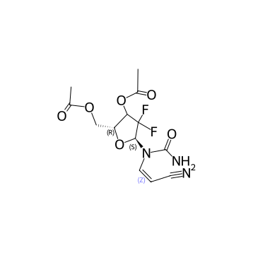 CC(=O)OC[C@H]1O[C@H](N(/C=C\C#N)C(N)=O)C(F)(F)C1OC(C)=O